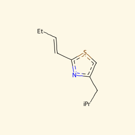 CC/C=C/c1nc(CC(C)C)cs1